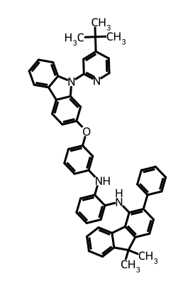 CC(C)(C)c1ccnc(-n2c3ccccc3c3ccc(Oc4cccc(Nc5ccccc5Nc5c(-c6ccccc6)ccc6c5-c5ccccc5C6(C)C)c4)cc32)c1